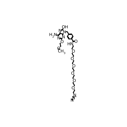 COCCOc1nc(N)c2nc(O)n(Cc3ccc(C(=O)NCCOCCOCCOCCOCCOCCOCCN=[N+]=[N-])cc3)c2n1